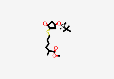 COC(=O)C(C)CCCCSC1=CC(O[Si](C)(C)C(C)(C)C)CC1=O